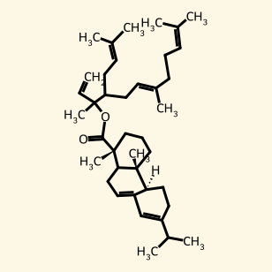 C=CC(C)(OC(=O)[C@]1(C)CCC[C@@]2(C)C1CC=C1C=C(C(C)C)CC[C@@H]12)C(CC=C(C)C)C/C=C(\C)CCC=C(C)C